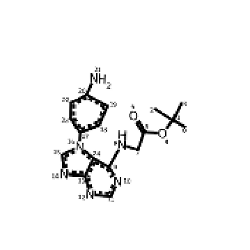 CC(C)(C)OC(=O)CNc1ncnc2ncn(-c3ccc(N)cc3)c12